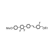 CCOCc1ccc(/C=C/c2ccc(-c3ccc(-c4ccc(OC)cc4)c(F)c3F)cc2)cc1F